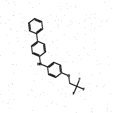 FC(F)(F)COc1ccc(Nc2ccc(-c3ccccc3)cc2)cc1